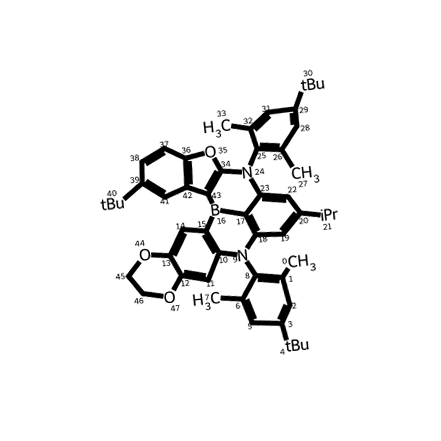 Cc1cc(C(C)(C)C)cc(C)c1N1c2cc3c(cc2B2c4c1cc(C(C)C)cc4N(c1c(C)cc(C(C)(C)C)cc1C)c1oc4ccc(C(C)(C)C)cc4c12)OCCO3